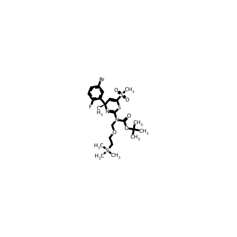 CC(C)(C)OC(=O)N(COCC[Si](C)(C)C)C1=N[C@](C)(c2cc(Br)ccc2F)C=C(S(C)(=O)=O)S1